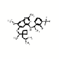 COc1cc2nc(C)nc(N[C@H](C)c3cccc(C(F)(F)F)c3F)c2cc1O[C@H](C)C1(CN(C)C)CCC1